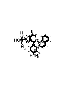 CC(C)(O)c1nc(C(F)F)c(C(=O)N2CCc3[nH]cnc3[C@H]2c2ccc3ccccc3n2)o1